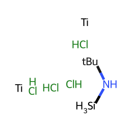 CC(C)(C)N[SiH3].Cl.Cl.Cl.Cl.[Ti].[Ti]